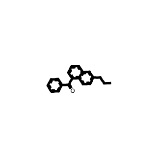 CCCc1ccc2c(C(=O)c3ccccc3)cccc2c1